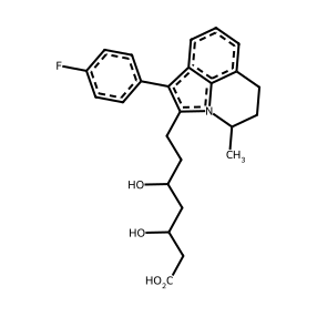 CC1CCc2cccc3c(-c4ccc(F)cc4)c(CCC(O)CC(O)CC(=O)O)n1c23